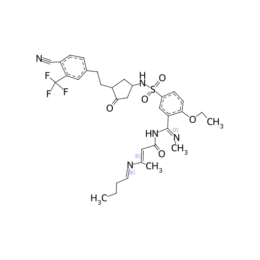 CCC/C=N/C(C)=C/C(=O)N/C(=N\C)c1cc(S(=O)(=O)NC2CC(=O)C(CCc3ccc(C#N)c(C(F)(F)F)c3)C2)ccc1OCC